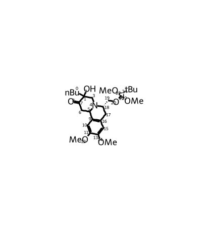 CCCCC1(O)CN2C(CC1=O)c1cc(OC)c(OC)cc1C[C@H]2CO[Si](OC)(OC)C(C)(C)C